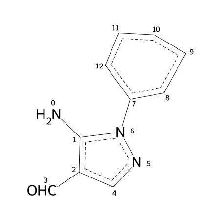 Nc1c(C=O)cnn1-c1ccccc1